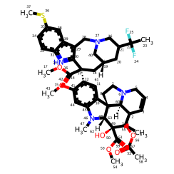 CC[C@]12C=CCN3CC[C@@]4(c5cc([C@@]6(C(=O)OC)C[C@H]7CC(C(C)(F)F)CN(Cc8c6[nH]c6ccc(SC)cc86)C7)c(OC)cc5N(C)[C@H]4[C@@](O)(C(=O)OC)[C@@H]1OC(C)=O)[C@@H]32